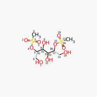 CS(=O)(=O)O[C@@H](CO)[C@@H](O)[C@H](O)[C@@H](CO)OS(C)(=O)=O